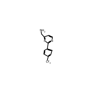 NCc1ccnc(-c2ccc(C(F)(F)F)cc2)n1